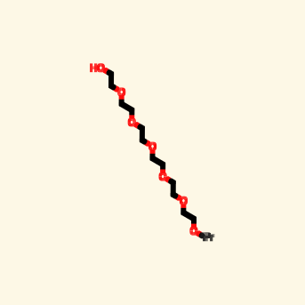 CC(C)OCCOCCOCCOCCOCCOCCO